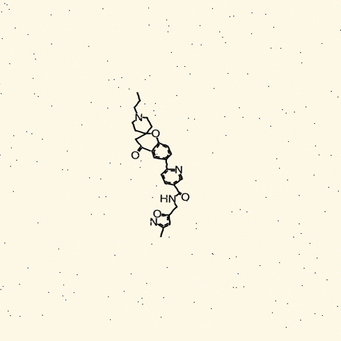 CCCN1CCC2(CC1)CC(=O)c1cc(-c3ccc(C(=O)NCc4cc(C)no4)cn3)ccc1O2